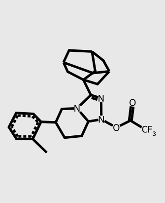 Cc1ccccc1C1CCC2N(OC(=O)C(F)(F)F)N=C(C34CC5CC(CC(C5)C3)C4)N2C1